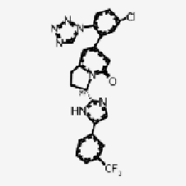 O=c1cc(-c2cc(Cl)ccc2-n2cnnn2)cc2n1[C@H](c1ncc(-c3cccc(C(F)(F)F)c3)[nH]1)CC2